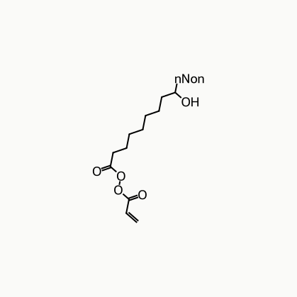 C=CC(=O)OOC(=O)CCCCCCCC(O)CCCCCCCCC